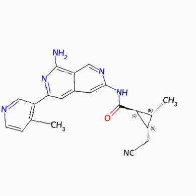 Cc1ccncc1-c1cc2cc(NC(=O)[C@H]3[C@H](C)[C@@H]3CC#N)ncc2c(N)n1